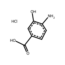 Cl.Nc1ccc(C(=O)O)cc1O